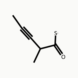 CC#CC(C)C(=O)[S]